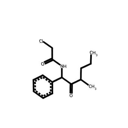 CCCC(C)C(=O)C(NC(=O)CCl)c1ccccc1